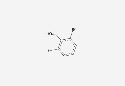 O=C(O)c1c(Br)cccc1I